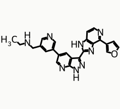 CCNCc1cncc(-c2cnc3[nH]nc(-c4nc5c(-c6ccoc6)nccc5[nH]4)c3c2)c1